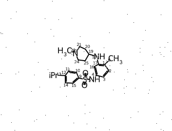 Cc1ccc(NS(=O)(=O)c2ccc(C(C)C)cc2)cc1NC1CCN(C)CC1